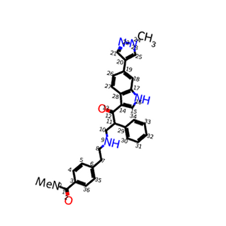 CNC(=O)c1ccc(CCNCC(C(=O)c2c[nH]c3cc(-c4cnn(C)c4)ccc23)c2ccccc2)cc1